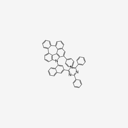 c1ccc(-c2nc(-c3ccccc3)nc(-c3cc(-n4c5cccc6c5c5c7c(cccc7cc(-c7ccccc7)c54)-c4ccccc4-6)c4ccccc4c3)n2)cc1